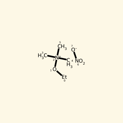 CCO[N+](C)(C)C.O=[N+]([O-])[O-]